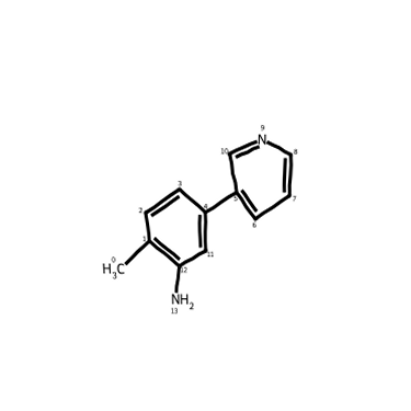 Cc1ccc(-c2cccnc2)cc1N